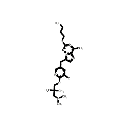 CCCCOc1nc(N)c2ncc(Cc3cnc(OCC(C)(C)CN(C)C)c(Cl)c3)n2n1